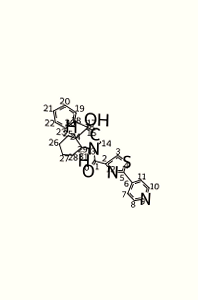 O=C(c1csc(-c2ccncc2)n1)N1CCC(O)(c2ccccc2)[C@H]2CCCC[C@@H]21